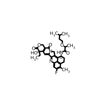 CC[C@@]1(O)C(=O)OCc2c1cc1n(c2=O)Cc2c-1nc1cc(F)c(C)c3c1c2[C@@H](NC(=O)C(C)OCCC(C)C)CC3